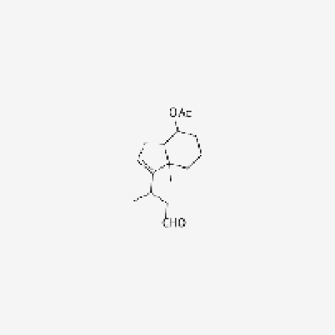 CC(=O)OC1CCCC2(C)C(C(C)CC=O)=CCC12